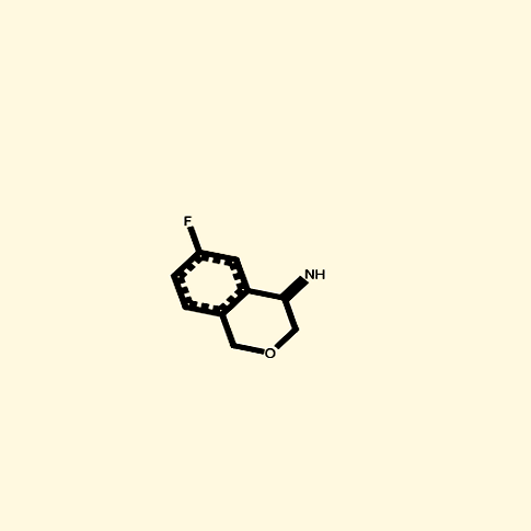 N=C1COCc2ccc(F)cc21